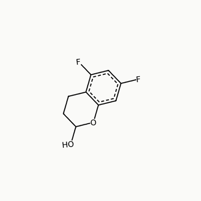 OC1CCc2c(F)cc(F)cc2O1